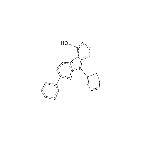 Oc1cccc2c1c1ccc(-c3ccccc3)cc1n2C1=CC=CCC1